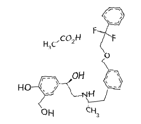 CC(=O)O.C[C@@H](Cc1cccc(COCC(F)(F)c2ccccc2)c1)NC[C@H](O)c1ccc(O)c(CO)c1